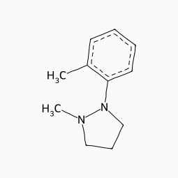 Cc1ccccc1N1CCCN1C